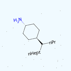 CCCCCCCC(CCC)[C@H]1CC[C@H](N)CC1